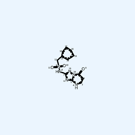 O=c1cc[nH]c2nc(NS(=O)(=O)Cc3ccccc3)nn12